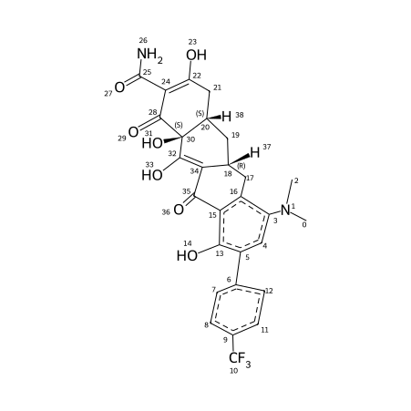 CN(C)c1cc(-c2ccc(C(F)(F)F)cc2)c(O)c2c1C[C@H]1C[C@H]3CC(O)=C(C(N)=O)C(=O)[C@@]3(O)C(O)=C1C2=O